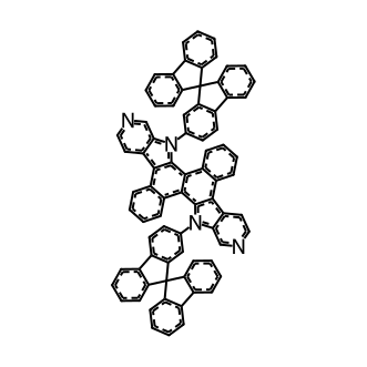 c1ccc2c(c1)-c1ccccc1C21c2ccccc2-c2ccc(-n3c4cnccc4c4c5ccccc5c5c(c6ccccc6c6c7ccncc7n(-c7ccc8c(c7)C7(c9ccccc9-c9ccccc97)c7ccccc7-8)c65)c43)cc21